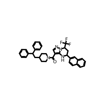 O=C(c1cnn2c1NC(c1ccc3ccccc3c1)CC2C(F)(F)F)N1CCC(CC(c2ccccc2)c2ccccc2)CC1